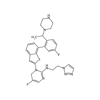 CC(c1ccc(F)cc1-c1cccc2cc(N3CC(F)=CN=C3NCCn3ccnn3)sc12)N1CCNCC1